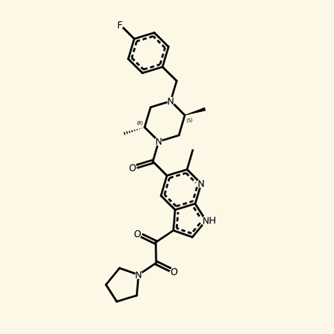 Cc1nc2[nH]cc(C(=O)C(=O)N3CCCC3)c2cc1C(=O)N1C[C@H](C)N(Cc2ccc(F)cc2)C[C@H]1C